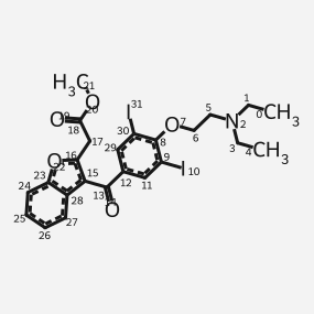 CCN(CC)CCOc1c(I)cc(C(=O)c2c(CC(=O)OC)oc3ccccc23)cc1I